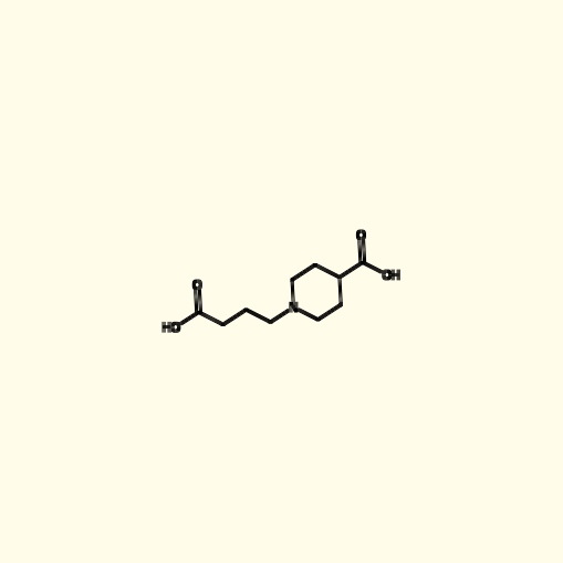 O=C(O)CCCN1CCC(C(=O)O)CC1